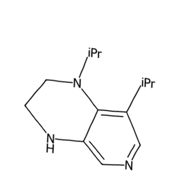 CC(C)c1cncc2c1N(C(C)C)CCN2